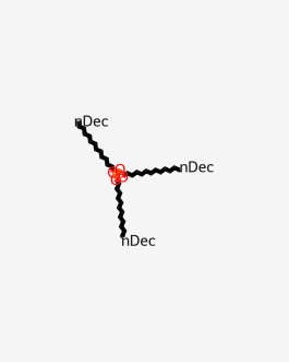 CCCCCCCCCCCCCCCCCCCCCCOP(=O)(OCCCCCCCCCCCCCCCCCCCCCC)OCCCCCCCCCCCCCCCCCCCCCC